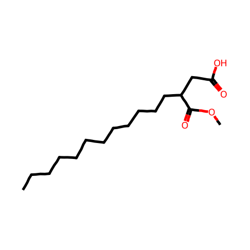 CCCCCCCCCCCCC(CC(=O)O)C(=O)OC